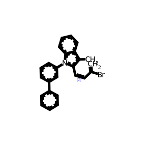 C=C(Br)/C=C\c1c(C)c2ccccc2n1-c1cccc(-c2ccccc2)c1